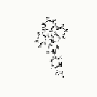 Nc1ccc(N2CCN(C(c3ccccc3)(c3ccccc3)c3ccccc3)CC2)cn1